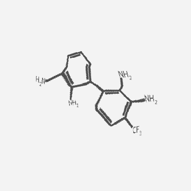 Nc1cccc(-c2ccc(C(F)(F)F)c(N)c2N)c1N